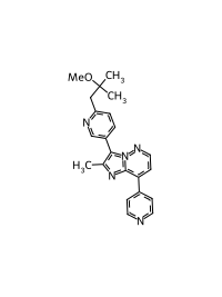 COC(C)(C)Cc1ccc(-c2c(C)nc3c(-c4ccncc4)ccnn23)cn1